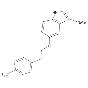 CNc1c[nH]c2ccc(OCCc3ccc(C(F)(F)F)cc3)cc12